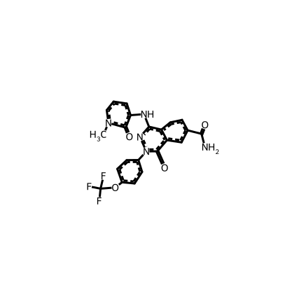 Cn1cccc(Nc2nn(-c3ccc(OC(F)(F)F)cc3)c(=O)c3cc(C(N)=O)ccc23)c1=O